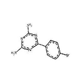 Nc1nc(N)nc(-c2ccc(Br)cc2)n1